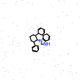 C1=CCC(C2CCCC(c3ccccc3)C2N2CNC3=C2CCC=C3)C=C1